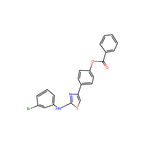 O=C(Oc1ccc(-c2csc(Nc3cccc(Br)c3)n2)cc1)c1ccccc1